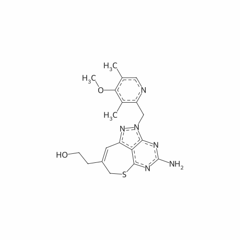 COc1c(C)cnc(Cn2nc3c4c(nc(N)nc42)SCC(CCO)=C3)c1C